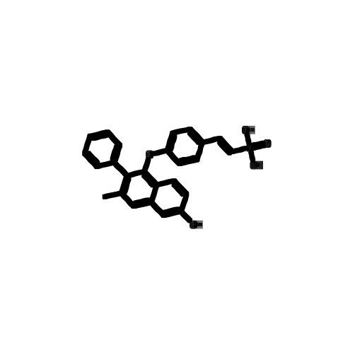 Cc1cc2cc(O)ccc2c(Oc2ccc(C=CP(=O)(O)O)cc2)c1-c1ccccc1